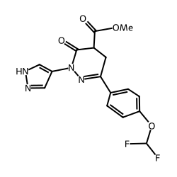 COC(=O)C1CC(c2ccc(OC(F)F)cc2)=NN(c2cn[nH]c2)C1=O